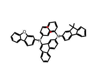 CC1(C)c2ccccc2-c2ccc(N(c3ccccc3)c3ccc4c(c3)c(N(c3ccccc3)c3ccc5c(c3)oc3ccccc35)cc3ccccc34)cc21